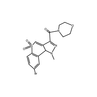 CN1N=C(C(=O)N2CCOCC2)C2=CS(=O)(=O)c3ccc(Br)cc3C21